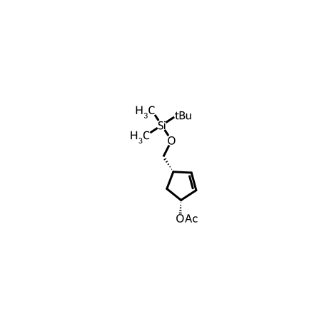 CC(=O)O[C@H]1C=C[C@@H](CO[Si](C)(C)C(C)(C)C)C1